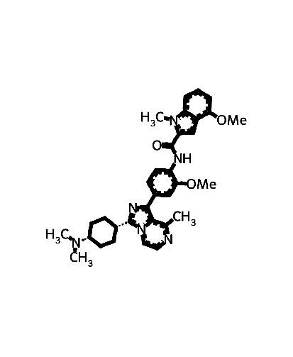 COc1cc(-c2nc([C@H]3CC[C@@H](N(C)C)CC3)n3ccnc(C)c23)ccc1NC(=O)c1cc2c(OC)cccc2n1C